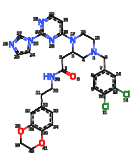 O=C(CC1CN(Cc2ccc(Cl)c(Cl)c2)CCN1c1ccnc(-n2ccnc2)n1)NCCc1ccc2c(c1)OCCO2